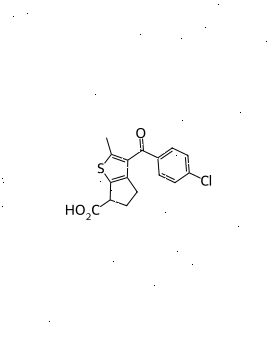 Cc1sc2c(c1C(=O)c1ccc(Cl)cc1)CCC2C(=O)O